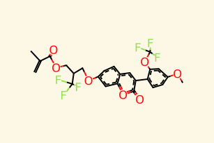 C=C(C)C(=O)OCC(COc1ccc2cc(-c3ccc(OC)cc3OC(F)(F)F)c(=O)oc2c1)C(F)(F)F